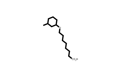 CC1CCCC(OCCCCCCCC(=O)O)C1